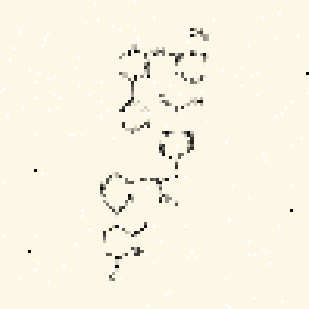 Cc1ccc(NC(=O)c2ccc(CN(C)Cc3cccc(C4CCC(=O)NC4=O)c3)cc2)cc1Nc1nccc(-c2cccnc2)n1